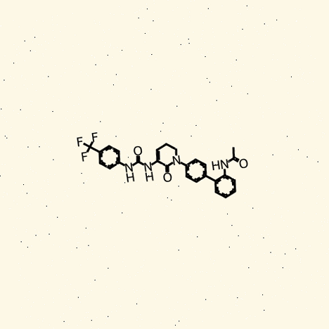 CC(=O)Nc1ccccc1-c1ccc(N2CCC=C(NC(=O)Nc3ccc(C(F)(F)F)cc3)C2=O)cc1